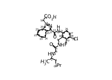 CC(C)CC(C)NCC(=O)NCc1c(NC(=O)c2nn(CC(=O)O)c3ccccc23)ccc(Cl)c1F